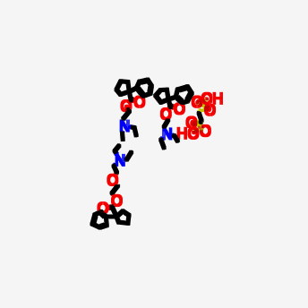 CCN(CC)CCOC(=O)C1(c2ccccc2)CCCC1.CCN(CC)CCOC(=O)C1(c2ccccc2)CCCC1.CCN(CC)CCOCCOC(=O)C1(c2ccccc2)CCCC1.O=S(=O)(O)CCS(=O)(=O)O